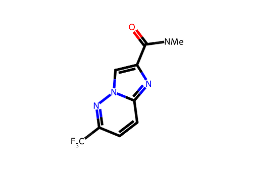 CNC(=O)c1cn2nc(C(F)(F)F)ccc2n1